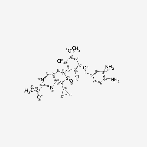 COc1cc(OCc2ccc(N)c(N)c2)c(Cl)c(N2Cc3cnc([S+](C)[O-])nc3N(C3CC3)C2=O)c1Cl